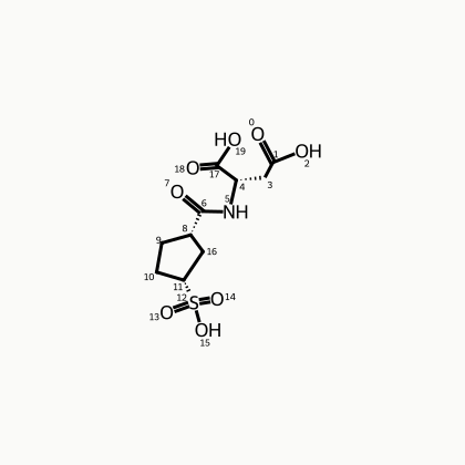 O=C(O)C[C@H](NC(=O)[C@H]1CC[C@@H](S(=O)(=O)O)C1)C(=O)O